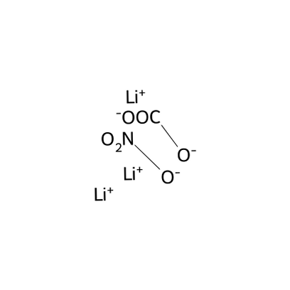 O=C([O-])[O-].O=[N+]([O-])[O-].[Li+].[Li+].[Li+]